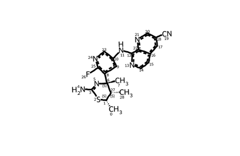 C[C@@H]1SC(N)=N[C@](C)(c2cc(Nc3nccc4cc(C#N)cnc34)cnc2F)[C@@H]1C